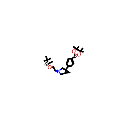 CC1(C)OB(c2ccc(C34CC3CN(CCO[Si](C)(C)C(C)(C)C)C4)cc2)OC1(C)C